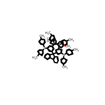 Cc1ccc(N(c2ccc(C)cc2)c2cc(N(c3ccc(C)cc3)c3ccc(C)cc3)cc(C3(c4cc(N(c5ccc(C)cc5)c5ccc(C)cc5)cc(N(c5ccc(C)cc5)c5ccc(C)cc5)c4)C4=C(CCC=C4)c4ccccc43)c2)cc1